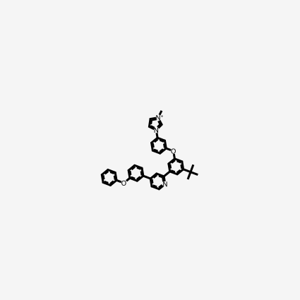 C[n+]1ccn(-c2cccc(Oc3cc(-c4cc(-c5cccc(Oc6ccccc6)c5)ccn4)cc(C(C)(C)C)c3)c2)c1